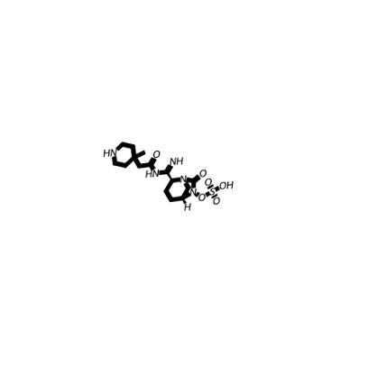 CC1(CC(=O)NC(=N)[C@@H]2CC[C@@H]3CN2C(=O)N3OS(=O)(=O)O)CCNCC1